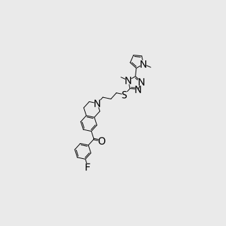 Cn1cccc1-c1nnc(SCCCN2CCc3ccc(C(=O)c4cccc(F)c4)cc3C2)n1C